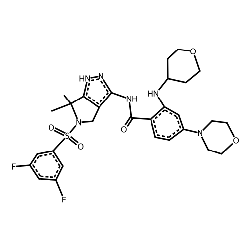 CC1(C)c2[nH]nc(NC(=O)c3ccc(N4CCOCC4)cc3NC3CCOCC3)c2CN1S(=O)(=O)c1cc(F)cc(F)c1